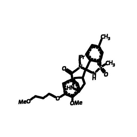 COCCCOc1cc(C(=O)N(C(C)C)C(NS(C)(=O)=O)(c2ccc(C)cc2)C2CCNC2)ccc1OC